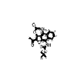 CC(=O)Oc1c(C(C)=O)oc2c(NC(=O)OC(C)(C)C)c3ccccc3c(O)c12